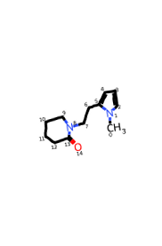 Cn1cccc1CCN1CCCCC1=O